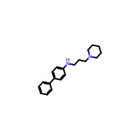 c1ccc(-c2ccc(NCCCN3CCCCC3)cc2)cc1